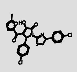 Cc1ccc(C(=O)C2=C(O)C(=O)N(C3=NC(c4ccc(Cl)cc4)CS3)C2c2ccc(Cl)cc2)o1